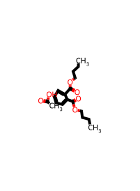 CC(=O)O.CCCCOC(=O)c1ccccc1C(=O)OCCCC